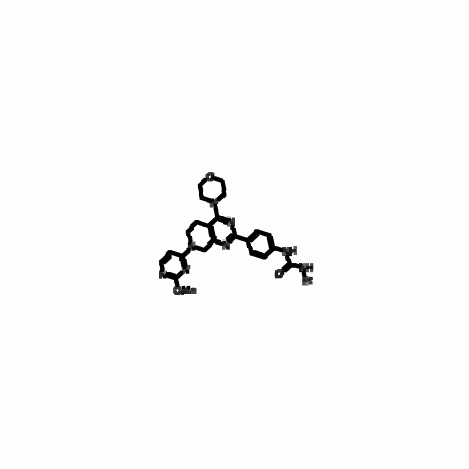 CCNC(=O)Nc1ccc(-c2nc3c(c(N4CCOCC4)n2)CCN(c2ccnc(OC)n2)C3)cc1